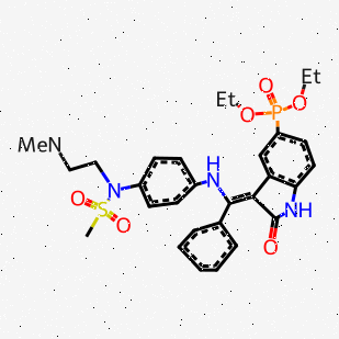 CCOP(=O)(OCC)c1ccc2c(c1)C(=C(Nc1ccc(N(CCNC)S(C)(=O)=O)cc1)c1ccccc1)C(=O)N2